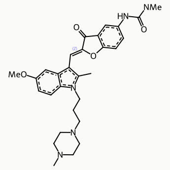 CNC(=O)Nc1ccc2c(c1)C(=O)/C(=C/c1c(C)n(CCCN3CCN(C)CC3)c3ccc(OC)cc13)O2